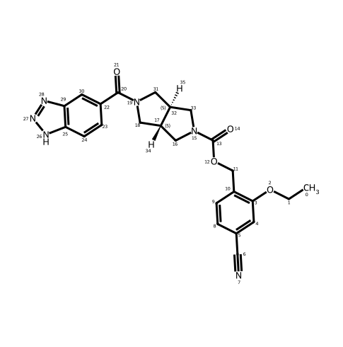 CCOc1cc(C#N)ccc1COC(=O)N1C[C@@H]2CN(C(=O)c3ccc4[nH]nnc4c3)C[C@H]2C1